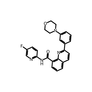 O=C(Nc1ccc(F)cn1)c1cccc2ccc(-c3cccc(N4CCOCC4)c3)nc12